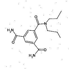 CCCN(CCC)C(=O)c1cc(C(N)=O)cc(C(N)=O)c1